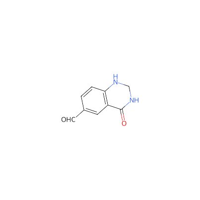 O=Cc1ccc2c(c1)C(=O)NCN2